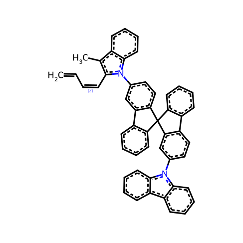 C=C/C=C\c1c(C)c2ccccc2n1-c1ccc2c(c1)-c1ccccc1C21c2ccccc2-c2ccc(-n3c4ccccc4c4ccccc43)cc21